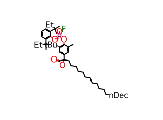 CCCCCCCCCCCCCCCCCCCCCCC1(c2cc(C)c(OP(OF)Oc3c(C(C)(C)CC)cccc3C(C)(C)CC)c(C(C)(C)C)c2)OC1=O